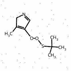 CC1=C(OOSC(C)(C)C)C=NC1